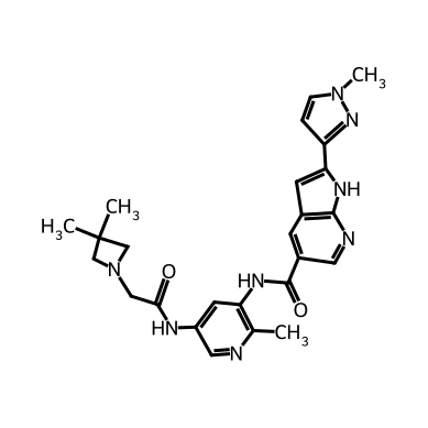 Cc1ncc(NC(=O)CN2CC(C)(C)C2)cc1NC(=O)c1cnc2[nH]c(-c3ccn(C)n3)cc2c1